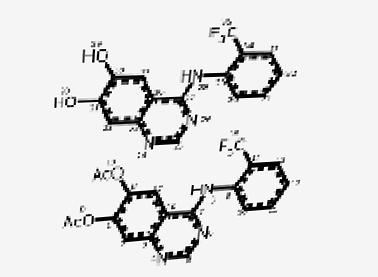 CC(=O)Oc1cc2ncnc(Nc3ccccc3C(F)(F)F)c2cc1OC(C)=O.Oc1cc2ncnc(Nc3ccccc3C(F)(F)F)c2cc1O